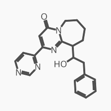 O=c1cc(-c2ccncn2)nc2n1CCCCC2C(O)Cc1ccccc1